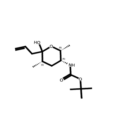 C=CCC1(O)O[C@H](C)[C@H](NC(=O)OC(C)(C)C)C[C@@H]1C